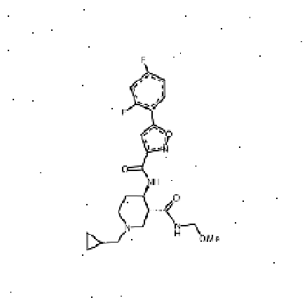 COCNC(=O)[C@@H]1CN(CC2CC2)CC[C@H]1NC(=O)c1cc(-c2ccc(F)cc2F)on1